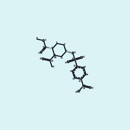 COC(=O)[C@@H]1CC[C@H](OS(=O)(=O)c2ccc([N+](=O)[O-])cc2)CN1C(C)=O